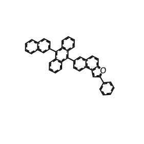 c1ccc(-c2cc3c(ccc4cc(-c5c6ccccc6c(-c6ccc7ccccc7c6)c6ccccc56)ccc43)o2)cc1